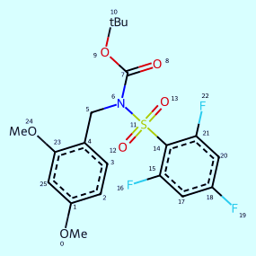 COc1ccc(CN(C(=O)OC(C)(C)C)S(=O)(=O)c2c(F)cc(F)cc2F)c(OC)c1